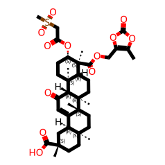 Cc1oc(=O)oc1COC(=O)[C@]1(C)[C@@H](OC(=O)CS(C)(=O)=O)CC[C@@]2(C)[C@H]1CC[C@]1(C)[C@@H]2C(=O)C=C2[C@@H]3C[C@@](C)(C(=O)O)CC[C@]3(C)CC[C@]21C